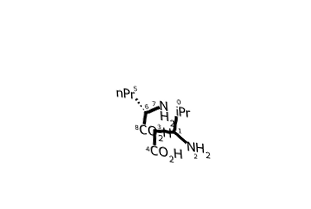 CC(C)C(N)CC(=O)O.CCC[C@H](N)C(=O)O